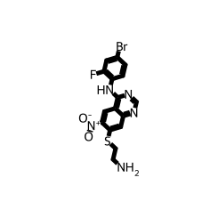 NCCSc1cc2ncnc(Nc3ccc(Br)cc3F)c2cc1[N+](=O)[O-]